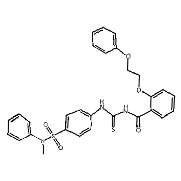 CN(c1ccccc1)S(=O)(=O)c1ccc(NC(=S)NC(=O)c2ccccc2OCCOc2ccccc2)cc1